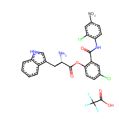 N[C@@H](Cc1c[nH]c2ccccc12)C(=O)Oc1ccc(Cl)cc1C(=O)Nc1ccc([N+](=O)[O-])cc1Cl.O=C(O)C(F)(F)F